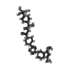 Cc1nn(C)c2cc(-c3noc(C4CCN(C(=O)CNC(=O)c5ccc(C(F)(F)F)cc5)CC4)n3)ccc12